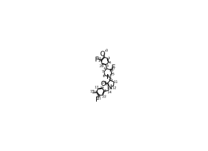 COc1ccc(C2CCN(C3CCN(Cc4ccc(C)c(F)c4)C3=O)CC2F)cc1F